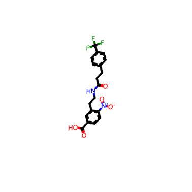 O=C(CCc1ccc(C(F)(F)F)cc1)NCCc1cc(C(=O)O)ccc1[N+](=O)[O-]